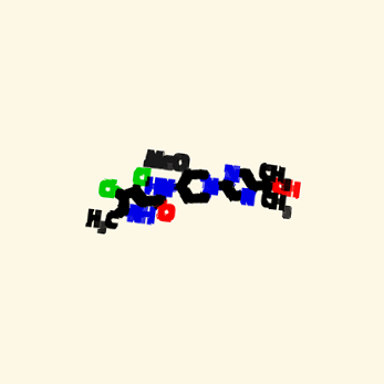 CO[C@H]1CN(c2cnc(C(C)(C)O)cn2)CC[C@H]1NC(=O)c1[nH]c(C)c(Cl)c1Cl